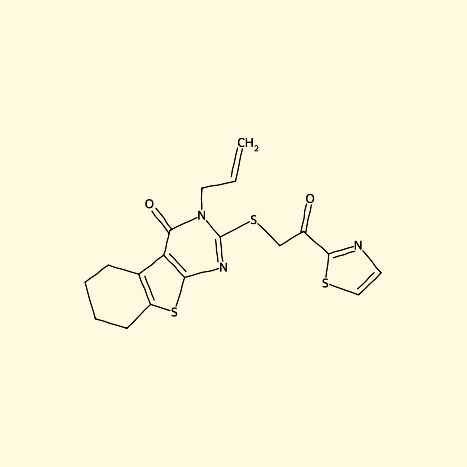 C=CCn1c(SCC(=O)c2nccs2)nc2sc3c(c2c1=O)CCCC3